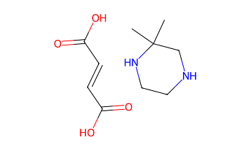 CC1(C)CNCCN1.O=C(O)/C=C/C(=O)O